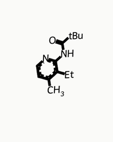 CCc1c(C)ccnc1NC(=O)C(C)(C)C